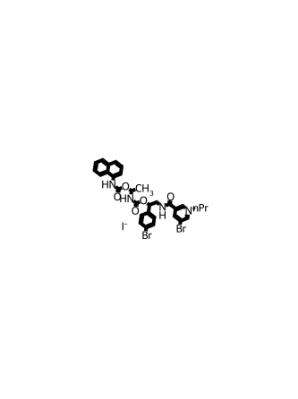 CCC[n+]1cc(Br)cc(C(=O)NCC(OC(=O)NC(C)OC(=O)Nc2cccc3ccccc23)c2ccc(Br)cc2)c1.[I-]